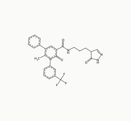 Cc1c(-c2ccccc2)cc(C(=O)NCCCC2C=NNC2=O)c(=O)n1-c1cccc(C(F)(F)F)c1